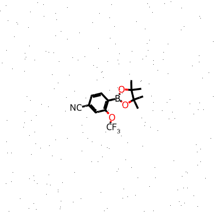 CC1(C)OB(c2ccc(C#N)cc2OC(F)(F)F)OC1(C)C